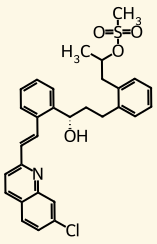 CC(Cc1ccccc1CC[C@H](O)c1ccccc1C=Cc1ccc2ccc(Cl)cc2n1)OS(C)(=O)=O